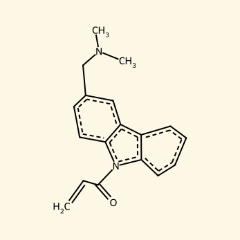 C=CC(=O)n1c2ccccc2c2cc(CN(C)C)ccc21